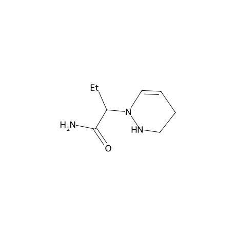 CCC(C(N)=O)N1C=CCCN1